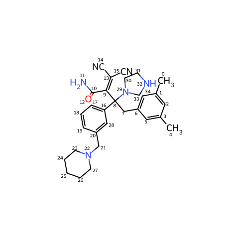 Cc1cc(C)cc(CC(C(C(N)=O)=C(C#N)C#N)(c2cccc(CN3CCCCC3)c2)N2CCNC2)c1